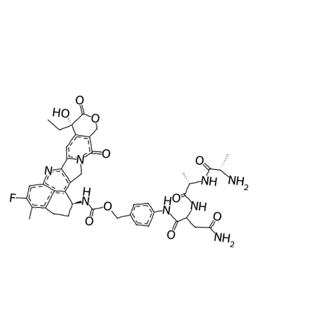 CC[C@@]1(O)C(=O)OCc2c1cc1n(c2=O)Cc2c-1nc1cc(F)c(C)c3c1c2[C@@H](NC(=O)OCc1ccc(NC(=O)C(CC(N)=O)NC(=O)[C@H](C)NC(=O)[C@H](C)N)cc1)CC3